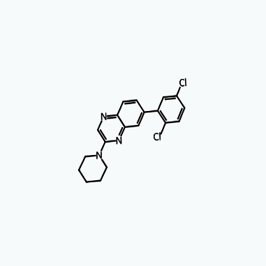 Clc1ccc(Cl)c(-c2ccc3ncc(N4CCCCC4)nc3c2)c1